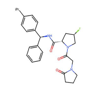 CC(C)c1ccc([C@@H](NC(=O)[C@@H]2C[C@@H](F)CN2C(=O)CN2CCCC2=O)c2ccccc2)cc1